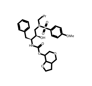 COc1ccc(S(=O)(=O)N(CC(C)C)C[C@@H](O)[C@H](Cc2ccccc2)NC(=O)OC2COCC3CCOC32)cc1